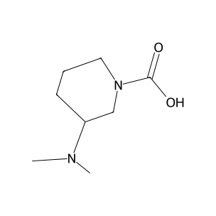 CN(C)C1CCCN(C(=O)O)C1